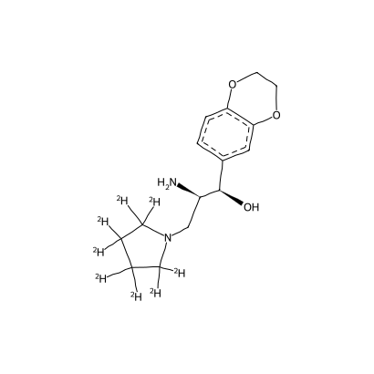 [2H]C1([2H])N(C[C@@H](N)[C@H](O)c2ccc3c(c2)OCCO3)C([2H])([2H])C([2H])([2H])C1([2H])[2H]